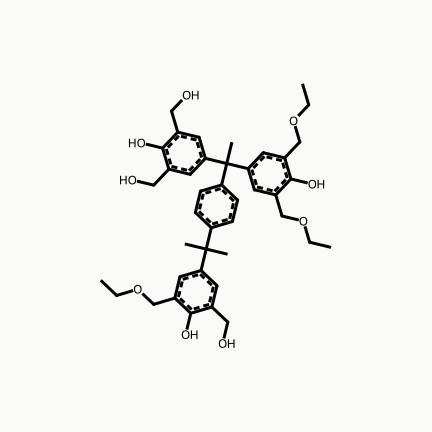 CCOCc1cc(C(C)(C)c2ccc(C(C)(c3cc(CO)c(O)c(CO)c3)c3cc(COCC)c(O)c(COCC)c3)cc2)cc(CO)c1O